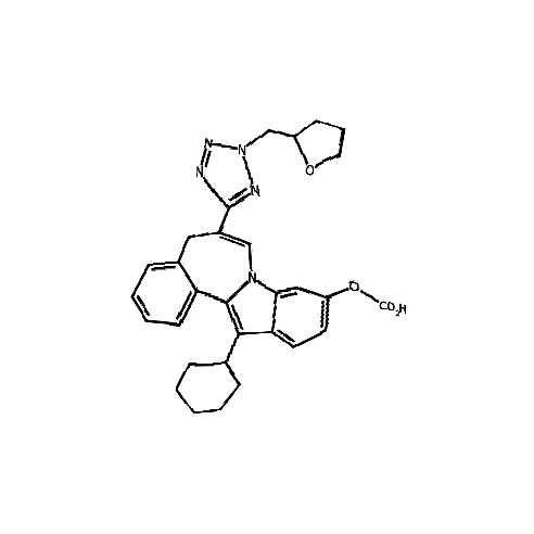 O=C(O)Oc1ccc2c(C3CCCCC3)c3n(c2c1)C=C(c1nnn(CC2CCCO2)n1)Cc1ccccc1-3